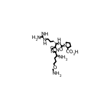 N=C(N)NCCC[C@H](NC(=O)N1CCCC1C(=O)O)c1nc([C@@H](N)CCCOCN)no1